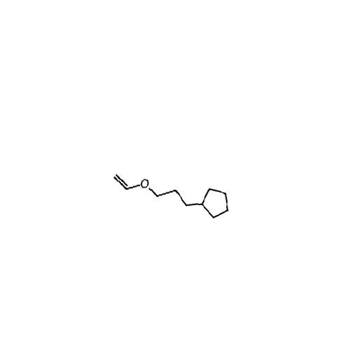 C=COCCCC1CCCC1